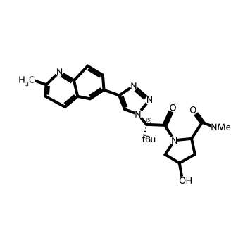 CNC(=O)C1CC(O)CN1C(=O)[C@@H](n1cc(-c2ccc3nc(C)ccc3c2)nn1)C(C)(C)C